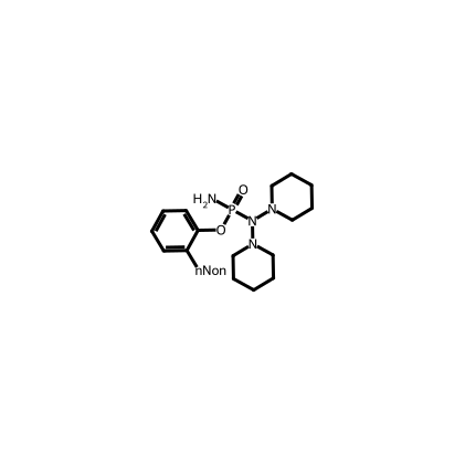 CCCCCCCCCc1ccccc1OP(N)(=O)N(N1CCCCC1)N1CCCCC1